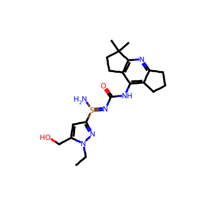 CCn1nc(/S(N)=N/C(=O)Nc2c3c(nc4c2CCC4(C)C)CCC3)cc1CO